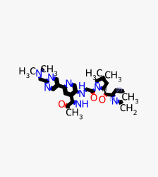 C=C/N=C(\C=C/C)C(=O)[C@@H]1CC(C)(C)CN1C(=O)CNc1cnc(-c2cnc(CN(C)C)nc2)cc1C(=N)C(C)=O